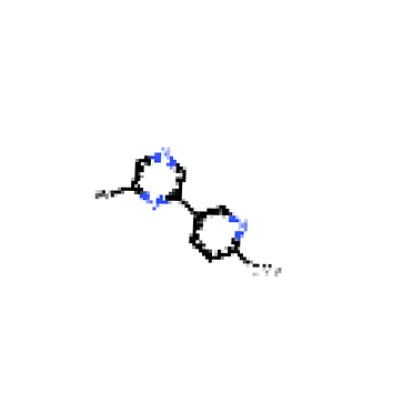 COc1ccc(-c2cncc(C(C)C)n2)cn1